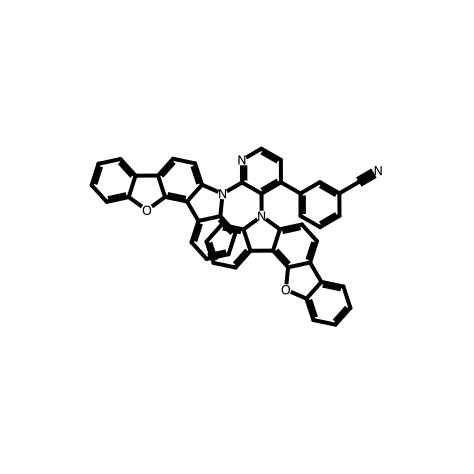 N#Cc1cccc(-c2ccnc(-n3c4ccccc4c4c5oc6ccccc6c5ccc43)c2-n2c3ccccc3c3c4oc5ccccc5c4ccc32)c1